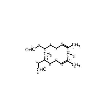 C/C=C/CCCCC=O.CC(C)=CCCC(C)CC=O